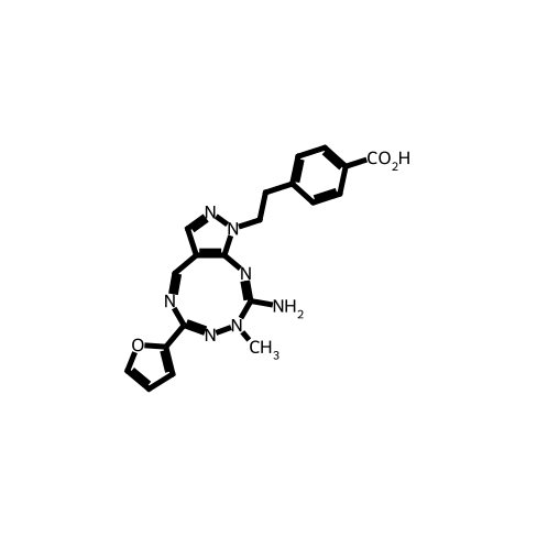 Cn1nc(-c2ccco2)ncc2cnn(CCc3ccc(C(=O)O)cc3)c2nc1N